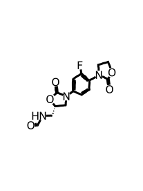 O=CNC[C@H]1CN(c2ccc(N3CCOC3=O)c(F)c2)C(=O)O1